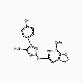 COc1cc(Nc2nc(N)n(-c3ccc(C#N)cc3)n2)cc2c1OCO2